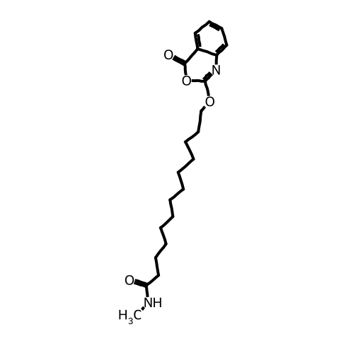 CNC(=O)CCCCCCCCCCCCOc1nc2ccccc2c(=O)o1